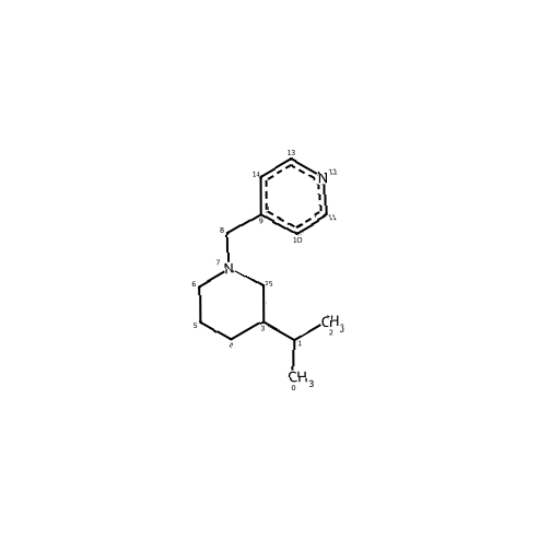 CC(C)C1CCCN(Cc2ccncc2)C1